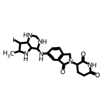 CC1NC2C(Nc3ccc4c(c3)C(=O)N(C3CCC(=O)NC3=O)C4)NCNC2C1I